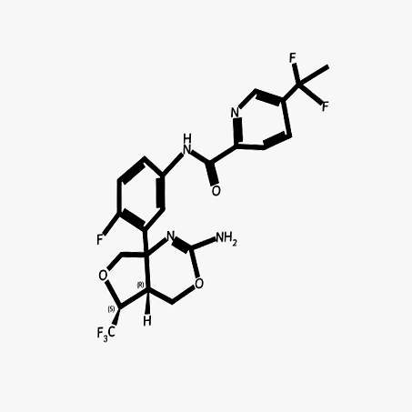 CC(F)(F)c1ccc(C(=O)Nc2ccc(F)c(C34CO[C@H](C(F)(F)F)[C@H]3COC(N)=N4)c2)nc1